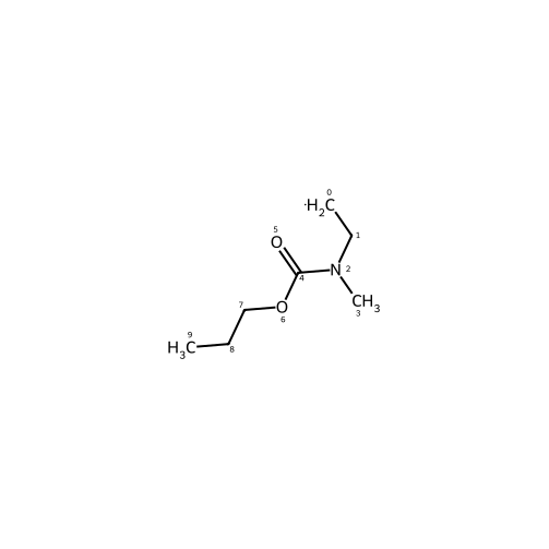 [CH2]CN(C)C(=O)OCCC